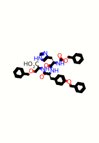 O=C(N[C@@H](Cc1c[nH]cn1)C(=O)N[C@@H](Cc1ccc(OCc2ccccc2)cc1)C(=O)N[C@@H](COCc1ccccc1)C(=O)O)OCc1ccccc1